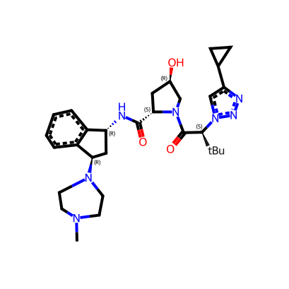 CN1CCN([C@@H]2C[C@@H](NC(=O)[C@@H]3C[C@@H](O)CN3C(=O)[C@@H](n3cc(C4CC4)nn3)C(C)(C)C)c3ccccc32)CC1